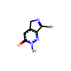 CC(C)C1=NCc2cc(=O)n(C(C)C)nc21